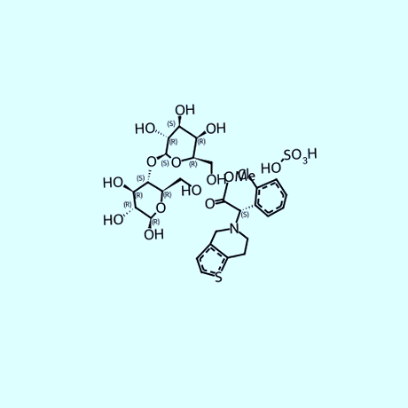 COC(=O)[C@H](c1ccccc1Cl)N1CCc2sccc2C1.O=S(=O)(O)O.OC[C@H]1O[C@@H](O[C@H]2[C@H](O)[C@@H](O)[C@H](O)O[C@@H]2CO)[C@H](O)[C@@H](O)[C@H]1O